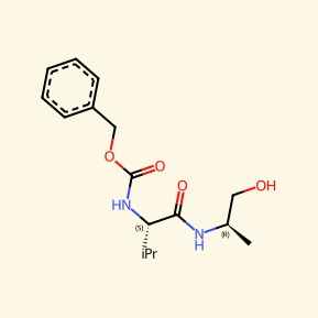 CC(C)[C@H](NC(=O)OCc1ccccc1)C(=O)N[C@H](C)CO